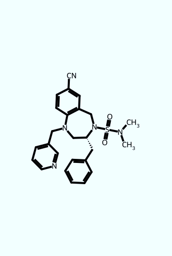 CN(C)S(=O)(=O)N1Cc2cc(C#N)ccc2N(Cc2cccnc2)C[C@H]1Cc1ccccc1